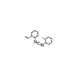 C=Cc1ccccc1N=C=Nc1ccccc1C